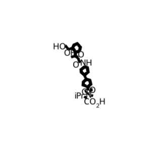 Cc1c(C(=O)Nc2ccc(-c3ccc(S(=O)(=O)N(C)[C@H](C(=O)O)C(C)C)cc3)cc2)oc2cccc(C(O)CO)c12